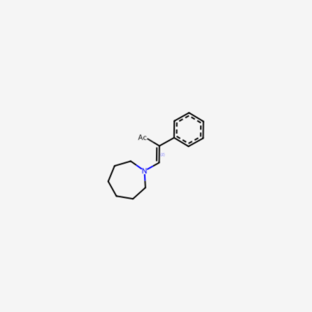 CC(=O)/C(=C\N1CCCCCC1)c1ccccc1